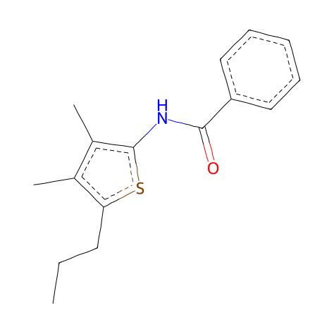 CCCc1sc(NC(=O)c2ccccc2)c(C)c1C